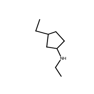 CCNC1CCC(CC)C1